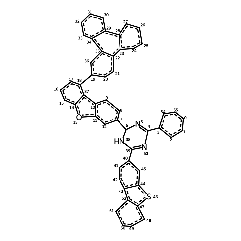 c1ccc(C2=NC(c3ccc4c(c3)oc3cccc(-c5ccc6c7ccccc7c7ccccc7c6c5)c34)NC(c3ccc4c(c3)sc3ccccc34)=N2)cc1